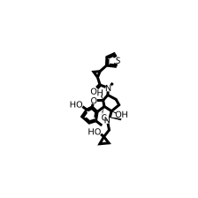 Cc1ccc(O)c2c1[C@]13CCN(CC4(O)CC4)[C@H](C)[C@]1(O)CCC(N(C)C(=O)C1CC1c1ccsc1)[C@@H]3O2